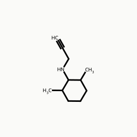 C#CCNC1C(C)CCCC1C